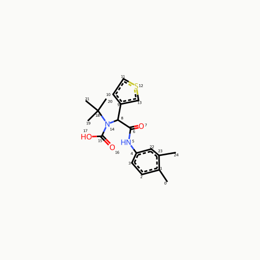 Cc1ccc(NC(=O)C(c2ccsc2)N(C(=O)O)C(C)(C)C)cc1C